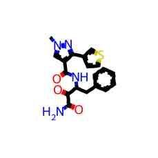 Cn1cc(C(=O)NC(Cc2ccccc2)C(=O)C(N)=O)c(-c2ccsc2)n1